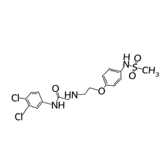 CS(=O)(=O)Nc1ccc(OCCNCC(=O)Nc2ccc(Cl)c(Cl)c2)cc1